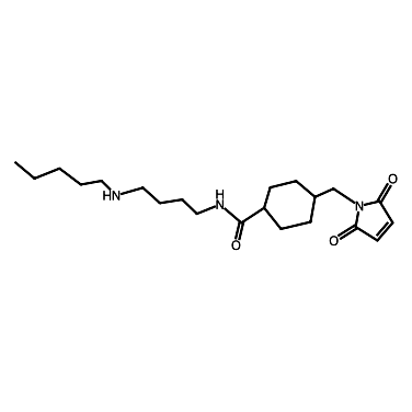 CCCCCNCCCCNC(=O)C1CCC(CN2C(=O)C=CC2=O)CC1